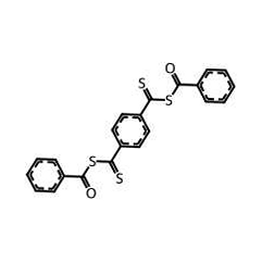 O=C(SC(=S)c1ccc(C(=S)SC(=O)c2ccccc2)cc1)c1ccccc1